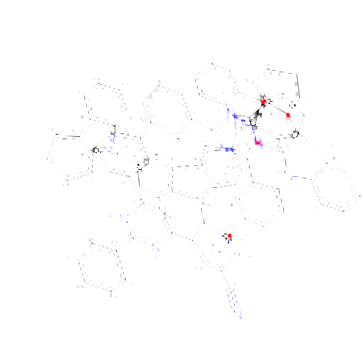 N#Cc1ccc(N2c3ccccc3Oc3ccccc32)c(-c2nc(-c3ccccc3)nc(-c3cccc(-c4cccc(-c5nc(-c6ccccc6)nc(-c6cc(C#N)ccc6-n6c7ccc(-n8c9ccccc9c9ccccc98)cc7c7cc(-n8c9ccccc9c9ccccc98)ccc76)n5)c4)c3)n2)c1